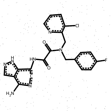 Nc1ncc(NC(=O)C(=O)N(Cc2ccc(F)cc2)Cc2ncccc2Cl)c2[nH]ncc12